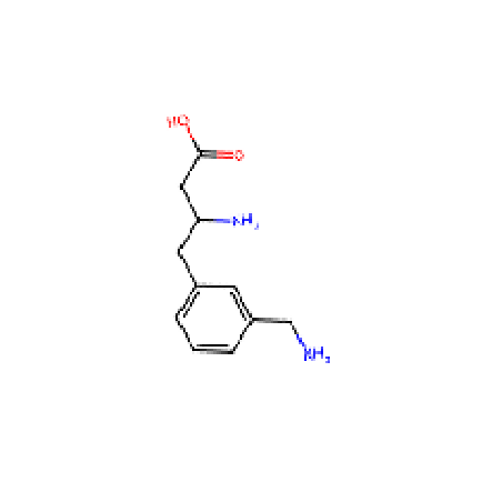 NCc1cccc(CC(N)CC(=O)O)c1